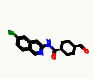 O=C[C@H]1CC[C@H](C(=O)Nc2cc3cc(Br)ccc3cn2)CC1